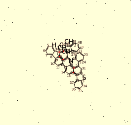 CC1(C)c2ccccc2-c2ccc(-c3ccccc3N(c3ccccc3-c3ccc4c(c3)sc3ccccc34)c3cccc4c3-c3ccccc3C4(C)C)cc21